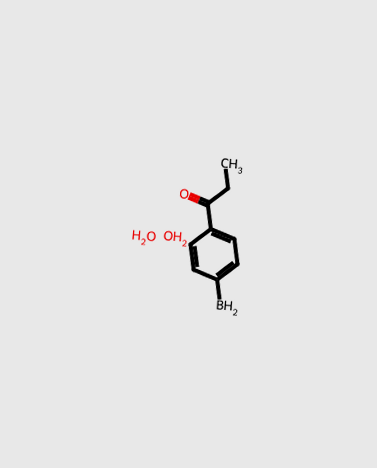 Bc1ccc(C(=O)CC)cc1.O.O